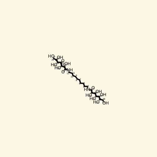 O=C(NCCCCCCCCCCNC(=O)[C@H](O)[C@H](O)[C@H](O)[C@@H](O)[C@H](O)CO)[C@H](O)[C@H](O)[C@H](O)[C@@H](O)[C@H](O)CO